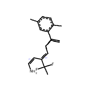 C=C(C/C=C(\C=C/N)C(C)(F)F)c1cc(C)ccc1C